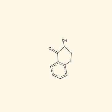 O=C1c2ccccc2CCC1O